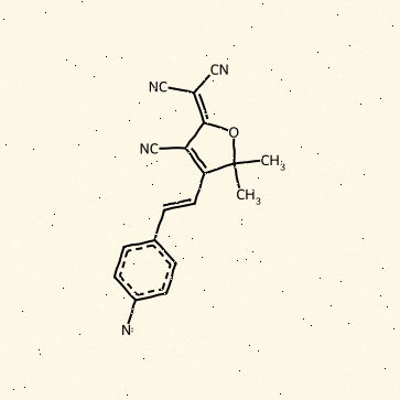 CC1(C)OC(=C(C#N)C#N)C(C#N)=C1C=Cc1ccc([N])cc1